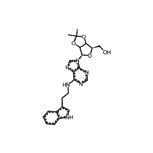 CC1(C)OC2C(O1)[C@@H](CO)O[C@H]2n1cnc2c(NCCc3c[nH]c4ccccc34)ncnc21